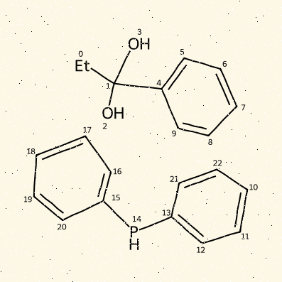 CCC(O)(O)c1ccccc1.c1ccc(Pc2ccccc2)cc1